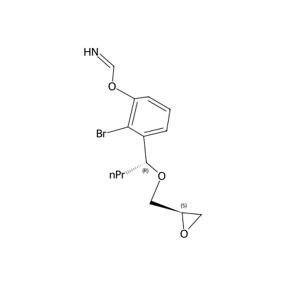 CCC[C@@H](OC[C@H]1CO1)c1cccc(OC=N)c1Br